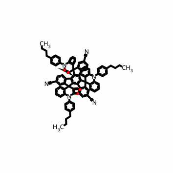 CCCCc1ccc(N2c3ccccc3C3(c4cc(C#N)ccc4-c4c3c3c(c5c4C4(c6cc(C#N)ccc6-5)c5ccccc5N(c5ccc(CCCC)cc5)c5ccccc54)C4(c5cc(C#N)ccc5-3)c3ccccc3N(c3ccc(CCCC)cc3)c3ccccc34)c3ccccc32)cc1